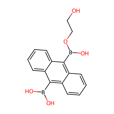 OCCOB(O)c1c2ccccc2c(B(O)O)c2ccccc12